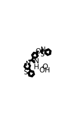 O=CO.c1ccc2sc(Oc3ccc4c(CN5CCc6sc7ccccc7c6C5)c[nH]c4c3)nc2c1